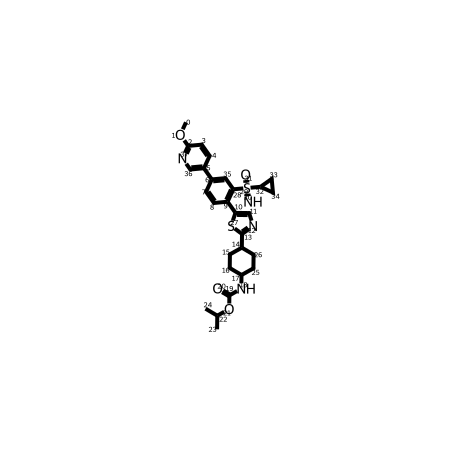 COc1ccc(-c2ccc(-c3cnc(C4CCC(NC(=O)OC(C)C)CC4)s3)c(S(=N)(=O)C3CC3)c2)cn1